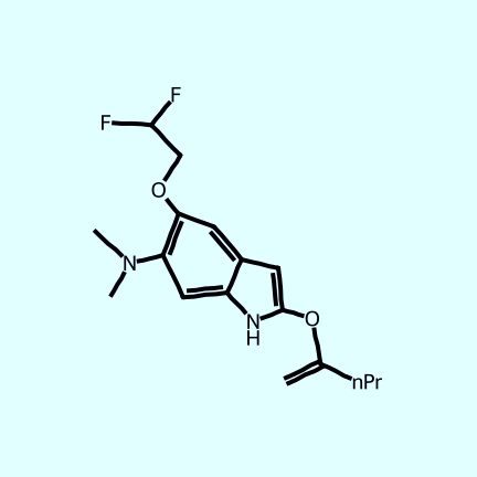 C=C(CCC)Oc1cc2cc(OCC(F)F)c(N(C)C)cc2[nH]1